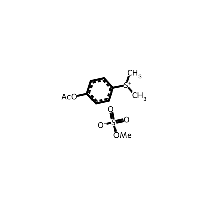 CC(=O)Oc1ccc([S+](C)C)cc1.COS(=O)(=O)[O-]